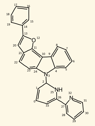 C1=CC(n2c3ccccc3c3c4oc(-c5ccccc5)cc4ccc32)NC(c2ccccn2)=C1